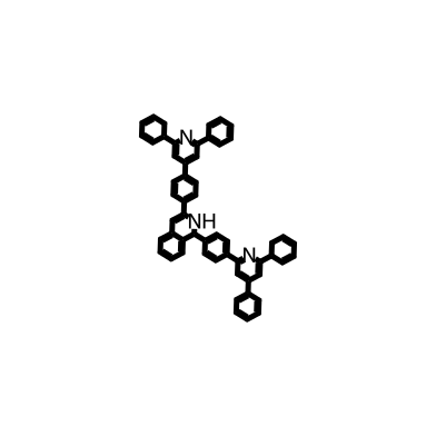 C1=CCC(c2cc(-c3ccc(C4=Cc5ccccc5C(c5ccc(-c6cc(-c7ccccc7)cc(C7C=CC=CC7)n6)cc5)N4)cc3)cc(-c3ccccc3)n2)C=C1